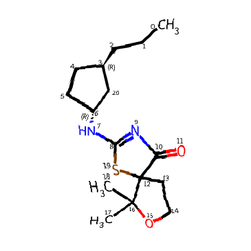 CCC[C@@H]1CC[C@@H](NC2=NC(=O)C3(CCOC3(C)C)S2)C1